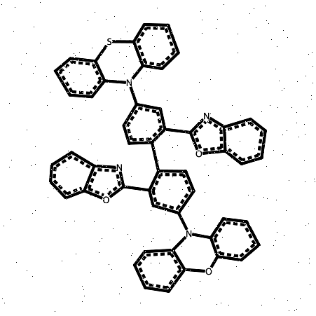 c1ccc2c(c1)Oc1ccccc1N2c1ccc(-c2ccc(N3c4ccccc4Sc4ccccc43)cc2-c2nc3ccccc3o2)c(-c2nc3ccccc3o2)c1